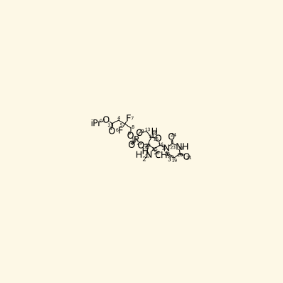 CC(C)OC(=O)CC(F)(F)CO[P@@]1(=O)OC[C@H]2O[C@@H](n3ccc(=O)[nH]c3=O)[C@](C)(N)[C@@H]2O1